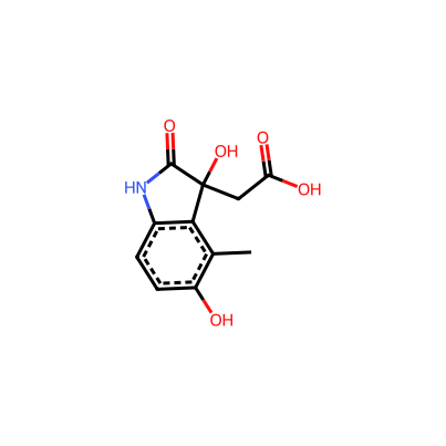 Cc1c(O)ccc2c1C(O)(CC(=O)O)C(=O)N2